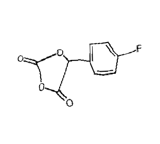 O=C1OC(=O)C(c2ccc(F)cc2)O1